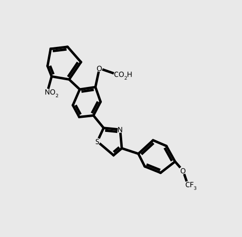 O=C(O)Oc1cc(-c2nc(-c3ccc(OC(F)(F)F)cc3)cs2)ccc1-c1ccccc1[N+](=O)[O-]